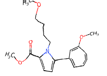 COCCCCn1c(C(=O)OC)ccc1-c1cccc(OC)c1